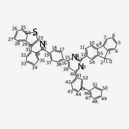 CC1(C)c2ccccc2-c2ccc(-c3nc(-c4ccc(-c5nc6sc7ccccc7c6c6ccccc56)cc4)cc(-c4cccc(-c5ccccc5)c4)n3)cc21